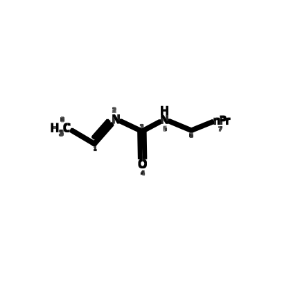 CC=NC(=O)NCCCC